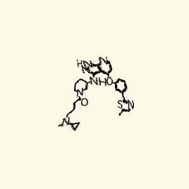 Cc1cnc(-c2cccc(Oc3ccnc4[nH]nc(N[C@@H]5CCCN(C(=O)C=CCN(C)C6CC6)C5)c34)c2)s1